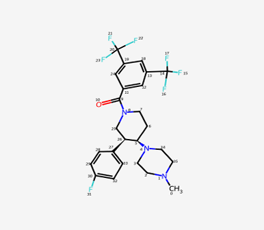 CN1CCN([C@@H]2CCN(C(=O)c3cc(C(F)(F)F)cc(C(F)(F)F)c3)C[C@@H]2c2ccc(F)cc2)CC1